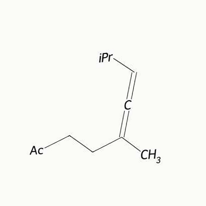 CC(=O)CCC(C)=C=CC(C)C